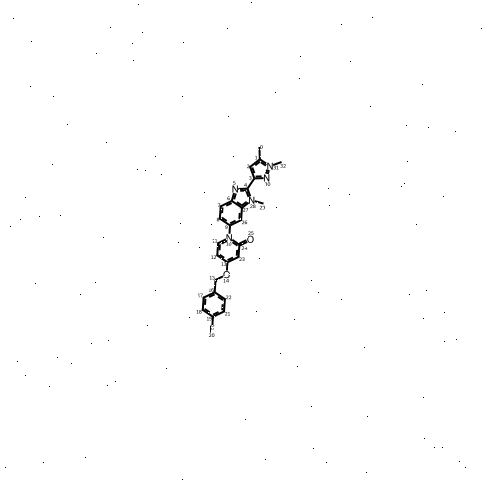 Cc1cc(-c2nc3ccc(-n4ccc(OCc5ccc(F)cc5)cc4=O)cc3n2C)nn1C